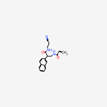 C=CC(=O)NCC(C(=O)NCCC#N)c1ccc2ccccc2c1